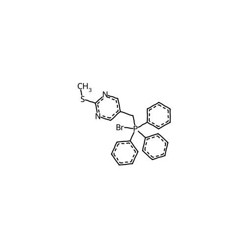 CSc1ncc(CP(Br)(c2ccccc2)(c2ccccc2)c2ccccc2)cn1